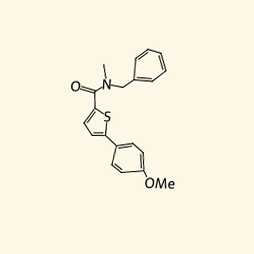 COc1ccc(-c2ccc(C(=O)N(C)Cc3ccccc3)s2)cc1